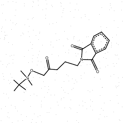 CC(C)(C)[Si](C)(C)OCC(=O)CCCN1C(=O)c2ccccc2C1=O